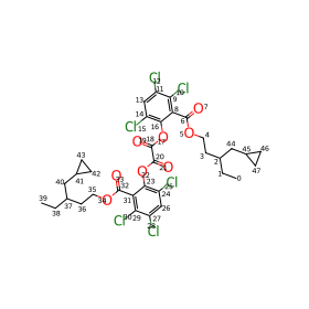 CCC(CCOC(=O)c1c(Cl)c(Cl)cc(Cl)c1OC(=O)C(=O)Oc1c(Cl)cc(Cl)c(Cl)c1C(=O)OCCC(CC)CC1CC1)CC1CC1